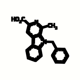 Cc1nc(C(=O)O)cc2c3ccccc3n(Cc3ccccc3)c12